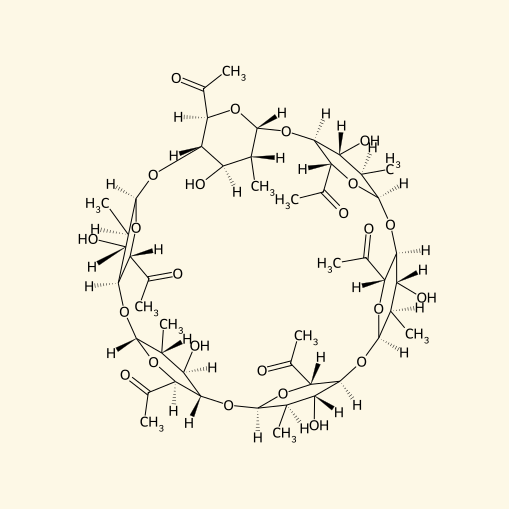 CC(=O)[C@H]1O[C@@H]2O[C@H]3[C@H](O)[C@@H](C)[C@@H](O[C@H]4[C@H](O)[C@@H](C)[C@@H](O[C@H]5[C@H](O)[C@@H](C)[C@@H](O[C@H]6[C@H](O)[C@@H](C)[C@@H](O[C@H]7[C@H](O)[C@@H](C)[C@@H](O[C@H]1[C@H](O)[C@H]2C)O[C@@H]7C(C)=O)O[C@@H]6C(C)=O)O[C@@H]5C(C)=O)O[C@@H]4C(C)=O)O[C@@H]3C(C)=O